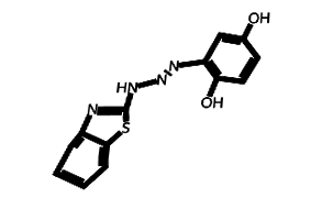 Oc1ccc(O)c(/N=N/Nc2nc3ccccc3s2)c1